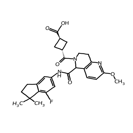 COc1ccc2c(n1)CCN(C(=O)[C@H]1C[C@H](C(=O)O)C1)C2C(=O)Nc1cc(F)c2c(c1)CCC2(C)C